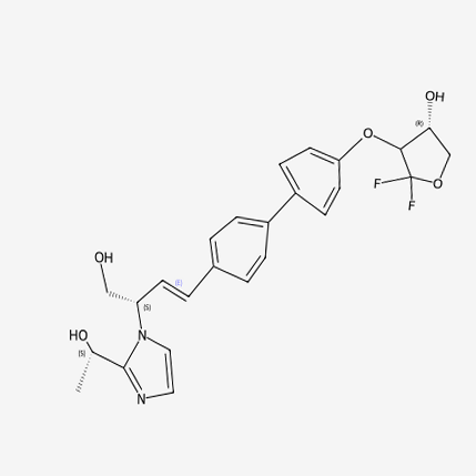 C[C@H](O)c1nccn1[C@@H](/C=C/c1ccc(-c2ccc(OC3[C@H](O)COC3(F)F)cc2)cc1)CO